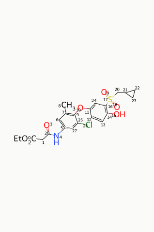 CCOC(=O)CC(=O)Nc1cc(C)c(Oc2ccc(O)c(S(=O)(=O)CC3CC3)c2)c(Cl)c1